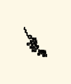 CCCCCCc1ccc(Nc2nc(Cl)nc3c2ncn3[C@@H]2O[C@H](CCP(=O)(O)CP(=O)(O)O)[C@H](O)C2O)cc1